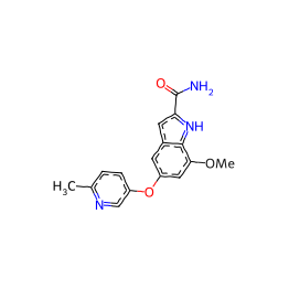 COc1cc(Oc2ccc(C)nc2)cc2cc(C(N)=O)[nH]c12